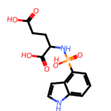 O=C(O)CCC(NP(=O)(O)c1cccc2[nH]ccc12)C(=O)O